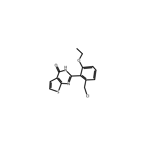 CCOc1cccc(CCl)c1-c1nc2sccc2c(=O)[nH]1